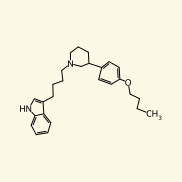 CCCCOc1ccc(C2CCCN(CCCCc3c[nH]c4ccccc34)C2)cc1